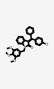 COc1cc(CN2C(=O)/C(=C(/c3ccccc3)c3ccc(Cl)cc3)c3ccccc32)cc(OC)c1OC